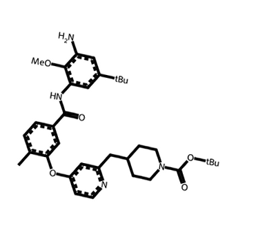 COc1c(N)cc(C(C)(C)C)cc1NC(=O)c1ccc(C)c(Oc2ccnc(CC3CCN(C(=O)OC(C)(C)C)CC3)c2)c1